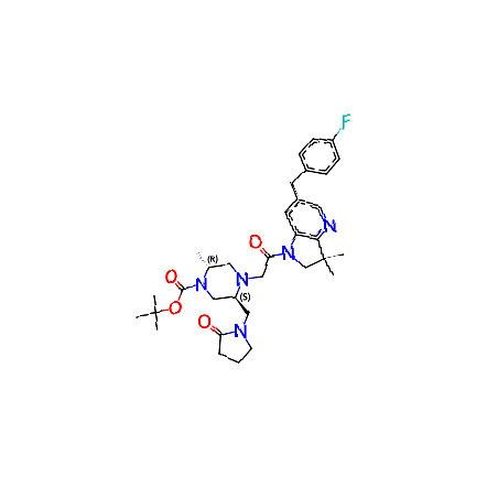 C[C@@H]1CN(CC(=O)N2CC(C)(C)c3ncc(Cc4ccc(F)cc4)cc32)[C@@H](CN2CCCC2=O)CN1C(=O)OC(C)(C)C